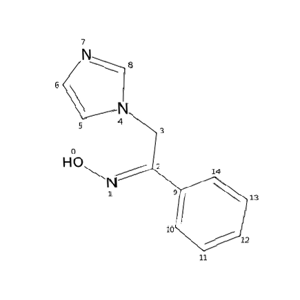 ON=C(Cn1ccnc1)c1ccccc1